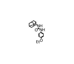 CCOc1ccc(NC(=O)NC2C3CC4CC(C3)CC2C4)cc1